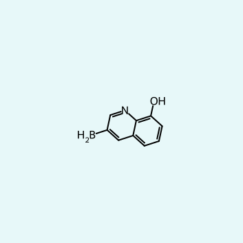 Bc1cnc2c(O)cccc2c1